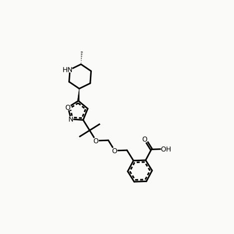 C[C@@H]1CC[C@@H](c2cc(C(C)(C)OCOCc3ccccc3C(=O)O)no2)CN1